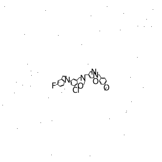 COc1ccc(Cn2ncc(CN3CCOc4c(Cl)cc(-n5ccc6cc(F)ccc65)cc4C3)cc2=O)cc1